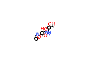 COc1ccccc1CN(C)Cc1ccc(Cn2c(O)nnc2-c2cc(C(C)C)c(O)cc2O)cc1